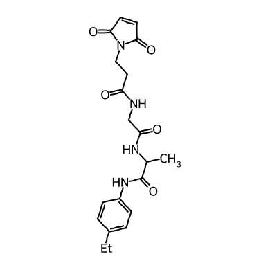 CCc1ccc(NC(=O)C(C)NC(=O)CNC(=O)CCN2C(=O)C=CC2=O)cc1